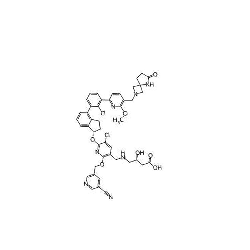 COc1nc(-c2cccc(-c3cccc4c3CC[C@@H]4Oc3nc(OCc4cncc(C#N)c4)c(CNC[C@@H](O)CC(=O)O)cc3Cl)c2Cl)ccc1CN1CC2(CCC(=O)N2)C1